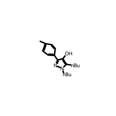 CCCCc1c(O)c(-c2ccc(C)cc2)nn1CCCC